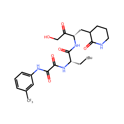 CC(C)(C)C[C@H](NC(=O)C(=O)Nc1cccc(C(F)(F)F)c1)C(=O)N[C@@H](CC1CCCNC1=O)C(=O)CO